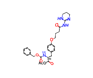 CC(=O)OC(=O)[C@H](Cc1ccc(OCCCC(=O)NC2=NCCCN2)cc1)NC(=O)OCc1ccccc1